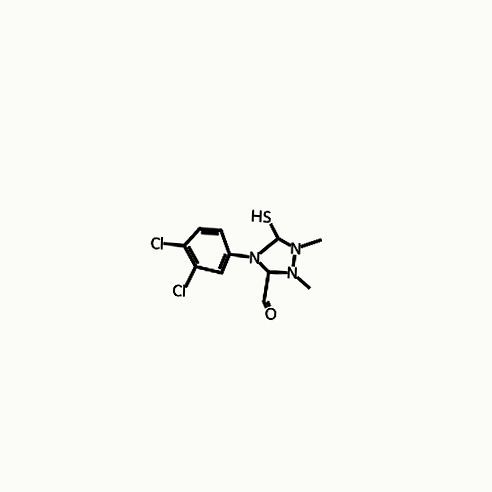 CN1C(S)N(c2ccc(Cl)c(Cl)c2)C(C=O)N1C